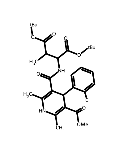 COC(=O)C1=C(C)NC(C)=C(C(=O)NC(C(=O)OC(C)(C)C)C(C)C(=O)OC(C)(C)C)C1c1ccccc1Cl